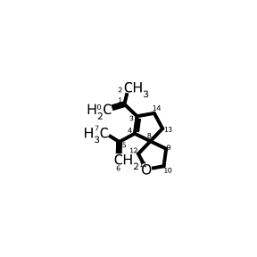 C=C(C)C1=C(C(=C)C)C2(CCOC2)CC1